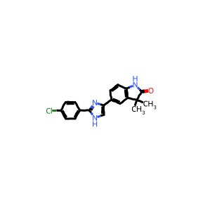 CC1(C)C(=O)Nc2ccc(-c3c[nH]c(-c4ccc(Cl)cc4)n3)cc21